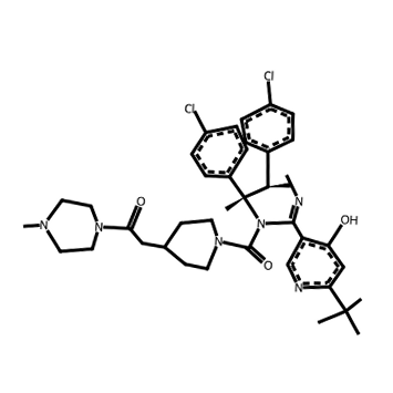 C/N=C(/c1cnc(C(C)(C)C)cc1O)N(C(=O)N1CCC(CC(=O)N2CCN(C)CC2)CC1)[C@](C)(c1ccc(Cl)cc1)[C@H](C)c1ccc(Cl)cc1